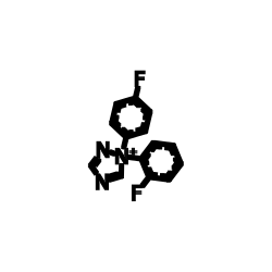 Fc1ccc([N+]2(c3ccccc3F)C=NC=N2)cc1